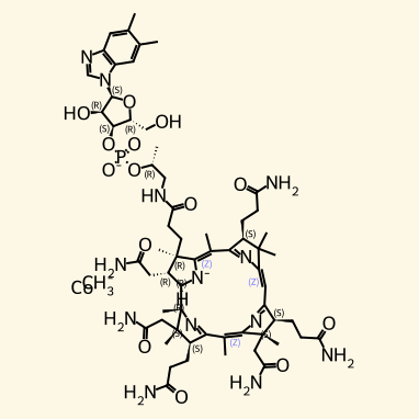 C/C1=C2/[N-][C@H]([C@H](CC(N)=O)[C@@]2(C)CCC(=O)NC[C@@H](C)OP(=O)([O-])O[C@H]2[C@@H](O)[C@@H](n3cnc4cc(C)c(C)cc43)O[C@@H]2CO)[C@]2(C)N=C(/C(C)=C3N=C(/C=C4N=C1[C@@H](CCC(N)=O)C\4(C)C)[C@@H](CCC(N)=O)[C@]\3(C)CC(N)=O)[C@@H](CCC(N)=O)[C@]2(C)CC(N)=O.[CH3-].[Co]